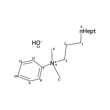 CCCCCCCCCC[N+](C)(C)c1ccccc1.[OH-]